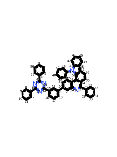 c1ccc(-c2nc(-c3ccccc3)nc(-c3cccc(-c4ccc5c(c4)nc(-c4ccccc4)c4ccc6c7ccccc7n(-c7ccccc7)c6c45)c3)n2)cc1